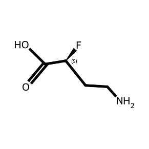 NCC[C@H](F)C(=O)O